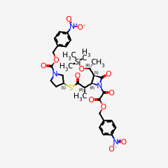 C[C@@H](O[Si](C)(C)C)[C@H]1C(=O)N(C(=O)C(=O)OCc2ccc([N+](=O)[O-])cc2)[C@H]1[C@@H](C)C(=O)S[C@H]1CCN(C(=O)OCc2ccc([N+](=O)[O-])cc2)C1